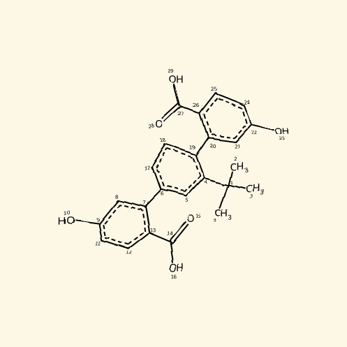 CC(C)(C)c1cc(-c2cc(O)ccc2C(=O)O)ccc1-c1cc(O)ccc1C(=O)O